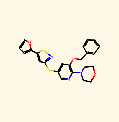 c1ccc(COc2cc(Sc3cc(-c4ccco4)sn3)cnc2N2CCOCC2)cc1